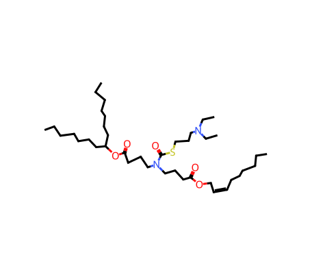 CCCCCC/C=C\COC(=O)CCCN(CCCC(=O)OC(CCCCCCC)CCCCCCC)C(=O)SCCCN(CC)CC